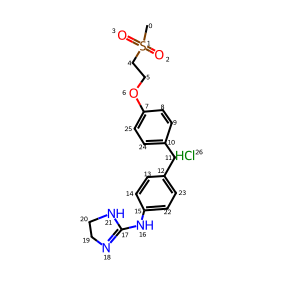 CS(=O)(=O)CCOc1ccc(Cc2ccc(NC3=NCCN3)cc2)cc1.Cl